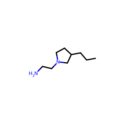 CCCC1CCN(CCN)C1